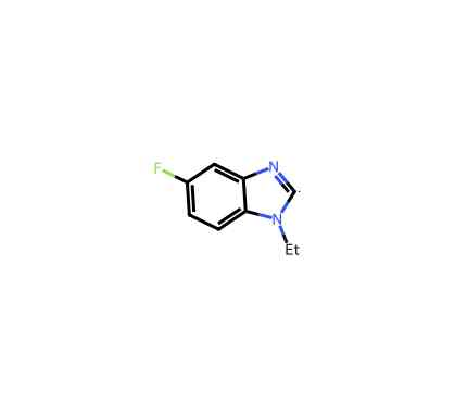 CCn1[c]nc2cc(F)ccc21